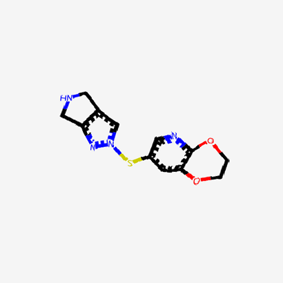 c1nc2c(cc1Sn1cc3c(n1)CNC3)OCCO2